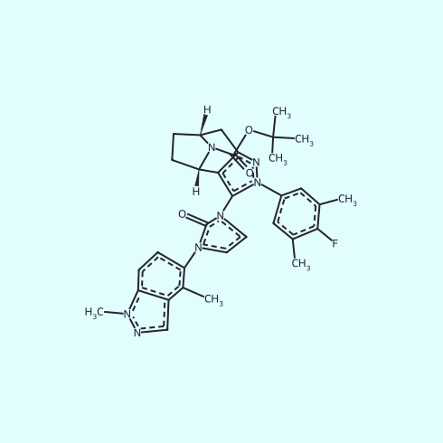 Cc1cc(-n2nc3c(c2-n2ccn(-c4ccc5c(cnn5C)c4C)c2=O)[C@@H]2CC[C@H](C3)N2C(=O)OC(C)(C)C)cc(C)c1F